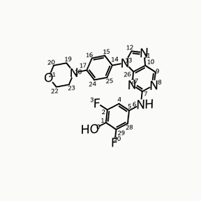 Oc1c(F)cc(Nc2ncc3ncn(-c4ccc(N5CCOCC5)cc4)c3n2)cc1F